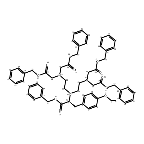 CCOc1ccc(C[C@@H](C(=O)OCc2ccccc2)N(CCN(CC(=O)OCc2ccccc2)CC(=O)OCc2ccccc2)CCN(CC(=O)OCc2ccccc2)CC(=O)OCc2ccccc2)cc1